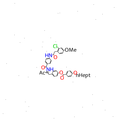 CCCCCCCOc1ccc(C(=O)Oc2ccc(C[C@H](NC(=O)c3ccc(NC(=O)Cc4ccc(OC)cc4Cl)cc3)C(C)=O)cc2)cc1